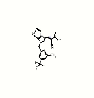 Cc1cc(Cn2cc(/C=C(\C#N)C(=O)O)c3ccncc32)cc(C(F)(F)F)c1